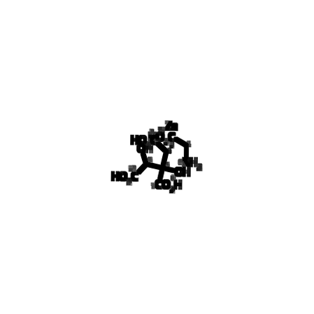 NCC(=O)O.O=C(O)CC(O)(C(=O)O)C(O)C(=O)O.[Zn]